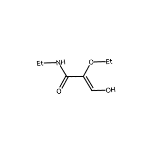 CCNC(=O)C(=CO)OCC